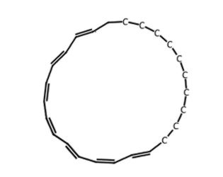 [C]1=C/C=C/C=C\C=C/C=C/C=C\C=C\CCCCCCCCCCC/1